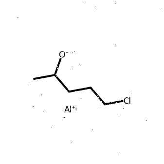 CC([O-])CCCCl.[Al+]